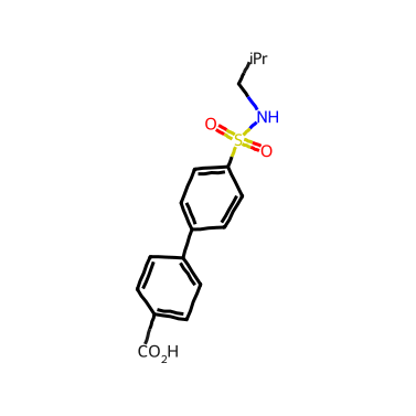 CC(C)CNS(=O)(=O)c1ccc(-c2ccc(C(=O)O)cc2)cc1